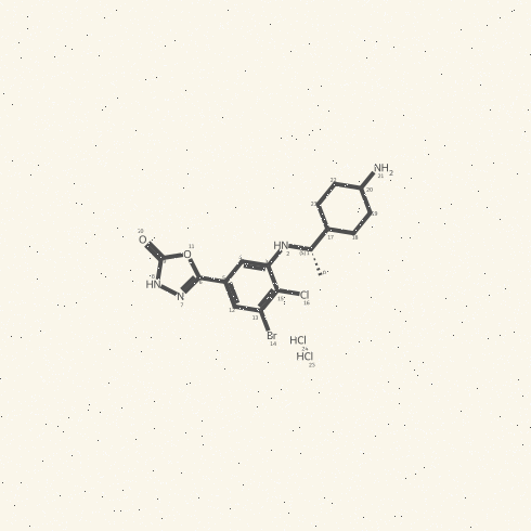 C[C@H](Nc1cc(-c2n[nH]c(=O)o2)cc(Br)c1Cl)C1CCC(N)CC1.Cl.Cl